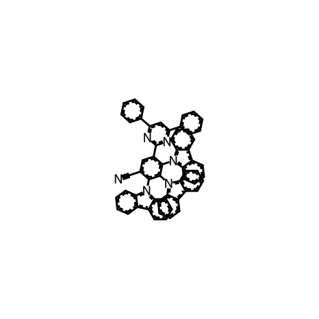 N#Cc1cc(-c2nc(-c3ccccc3)cc(-c3ccccc3)n2)c(-n2c3ccccc3c3ccccc32)c(-n2c3ccccc3c3ccccc32)c1-n1c2ccccc2c2ccccc21